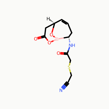 N#CCSCC(=O)N[C@H]1CC=C[C@@H]2CC(=O)OB1O2